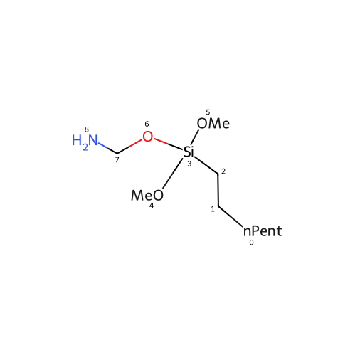 CCCCCCC[Si](OC)(OC)OCN